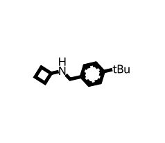 CC(C)(C)c1ccc(CNC2CCC2)cc1